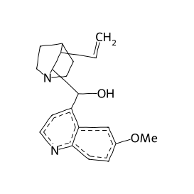 C=CC1C2CCN(CC2)C1C(O)c1ccnc2ccc(OC)cc12